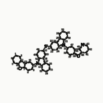 c1ccc2c(c1)oc1ccc(-n3c4ccccc4c4cc(Sc5ccc6c(c5)c5ccccc5n6-c5ccc6oc7cccnc7c6c5)ccc43)cc12